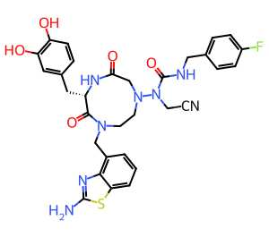 N#CCN(C(=O)NCc1ccc(F)cc1)N1CCN(Cc2cccc3sc(N)nc23)C(=O)[C@H](Cc2ccc(O)c(O)c2)NC(=O)C1